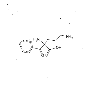 NCCCC(N)(C(=O)O)C(=O)c1ccccc1